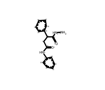 NNC(=O)C(CC(=O)Nc1ccccc1)c1ccccc1